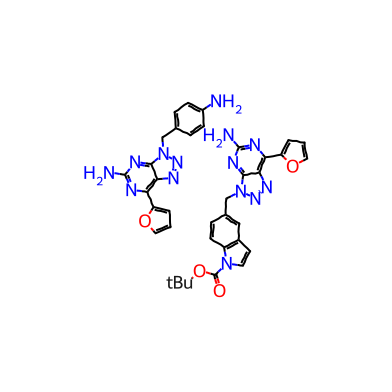 CC(C)(C)OC(=O)n1ccc2cc(Cn3nnc4c(-c5ccco5)nc(N)nc43)ccc21.Nc1ccc(Cn2nnc3c(-c4ccco4)nc(N)nc32)cc1